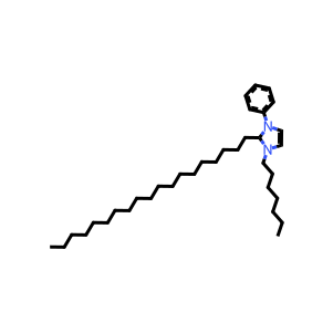 CCCCCCCCCCCCCCCCCCCC1N(CCCCCCC)C=CN1c1ccccc1